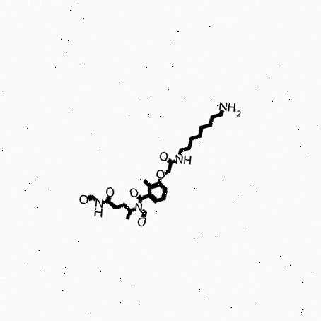 Cc1c(OCC(=O)NCCCCCCCCN)cccc1C(=O)N(C=O)C(C)CCC(=O)NC=O